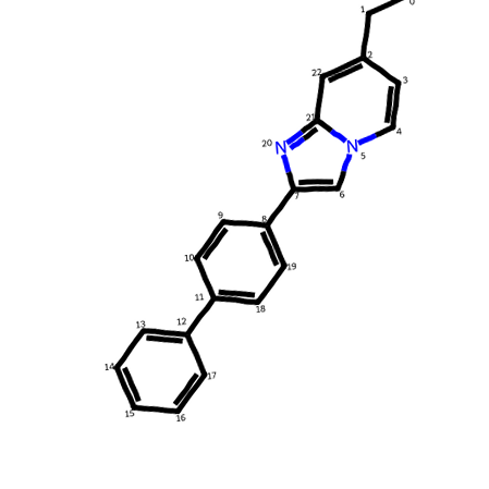 CCc1ccn2cc(-c3ccc(-c4ccccc4)cc3)nc2c1